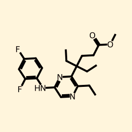 CCc1ncc(Nc2ccc(F)cc2F)nc1C(CC)(CC)CCC(=O)OC